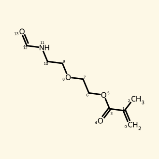 C=C(C)C(=O)OCCOCCN[C]=O